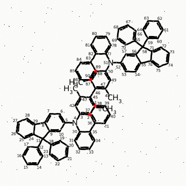 Cc1cc(N(c2ccc3c(c2)C(c2ccccc2)(c2ccccc2)c2ccccc2-3)c2ccccc2-c2ccccc2)cc(C)c1-c1c(C)cc(N(c2ccc3c(c2)C(c2ccccc2)(c2ccccc2)c2ccccc2-3)c2ccccc2-c2ccccc2)cc1C